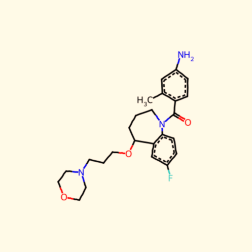 Cc1cc(N)ccc1C(=O)N1CCCC(OCCCN2CCOCC2)c2cc(F)ccc21